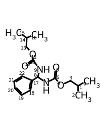 CC(C)COC(=O)NC(NC(=O)OCC(C)C)c1ccccc1